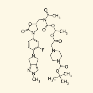 CC(=O)N(CC1CN(c2ccc(N3Cc4cn(C)nc4C3)c(F)c2)C(=O)O1)C(=O)OC(C)OC(=O)CN1CCN(C(=O)OC(C)(C)C)CC1